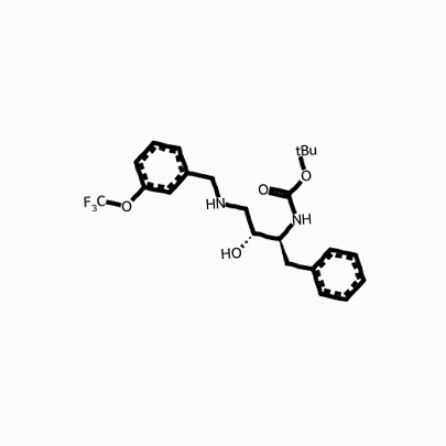 CC(C)(C)OC(=O)N[C@@H](Cc1ccccc1)[C@H](O)CNCc1cccc(OC(F)(F)F)c1